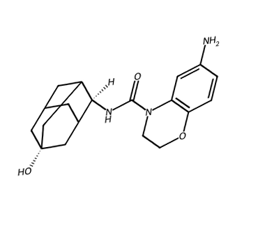 Nc1ccc2c(c1)N(C(=O)N[C@H]1C3CC4CC1C[C@](O)(C4)C3)CCO2